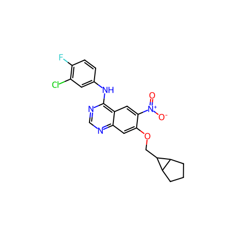 O=[N+]([O-])c1cc2c(Nc3ccc(F)c(Cl)c3)ncnc2cc1OCC1C2CCCC21